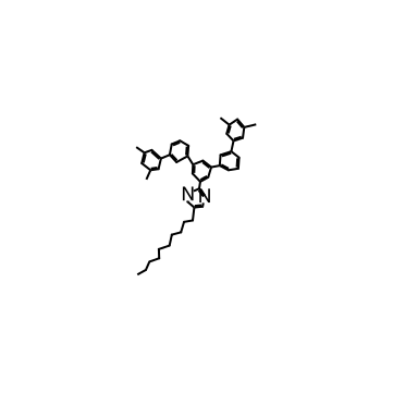 CCCCCCCCCCc1cnc(-c2cc(-c3cccc(-c4cc(C)cc(C)c4)c3)cc(-c3cccc(-c4cc(C)cc(C)c4)c3)c2)nc1